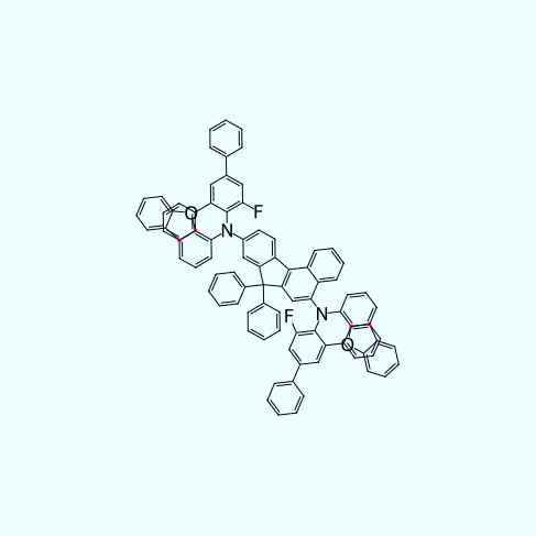 Fc1cc(-c2ccccc2)cc(-c2ccccc2)c1N(c1ccc2c(c1)C(c1ccccc1)(c1ccccc1)c1cc(N(c3c(F)cc(-c4ccccc4)cc3-c3ccccc3)c3cccc4c3oc3ccccc34)c3ccccc3c1-2)c1cccc2c1oc1ccccc12